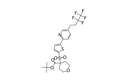 CC(C)(C)OC(=O)C1(S(=O)(=O)c2ccc(-c3ccc(CCC(F)(F)C(F)(F)F)cn3)s2)CCOCC1